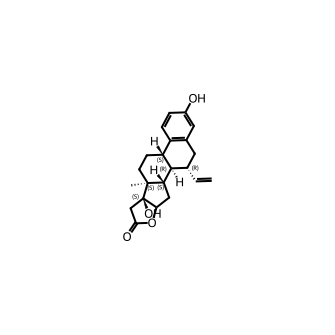 C=C[C@H]1Cc2cc(O)ccc2[C@H]2CC[C@@]3(C)[C@@H](CC4OC(=O)C[C@@]43O)[C@@H]21